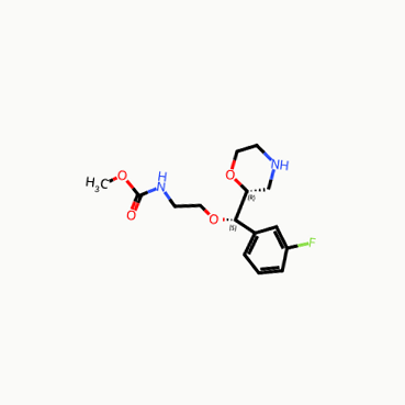 COC(=O)NCCO[C@@H](c1cccc(F)c1)[C@H]1CNCCO1